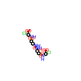 COC(=O)c1cc(NS(=O)(=O)c2ccc3ccc(NC(=O)Nc4ccc5ccc(S(=O)(=O)Nc6ccc(Cl)c(C(=O)O)c6)cc5c4)cc3c2)ccc1Cl